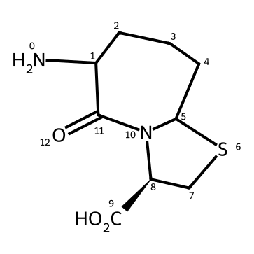 NC1CCCC2SC[C@@H](C(=O)O)N2C1=O